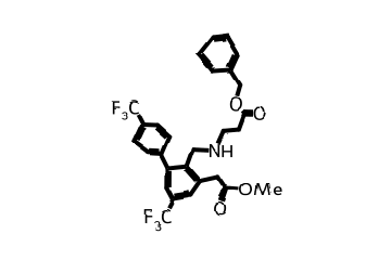 COC(=O)Cc1cc(C(F)(F)F)cc(-c2ccc(C(F)(F)F)cc2)c1CNCCC(=O)OCc1ccccc1